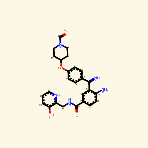 N=C(c1ccc(OC2CCN(C=O)CC2)cc1)c1cc(C(=O)NCc2ncccc2O)ccc1N